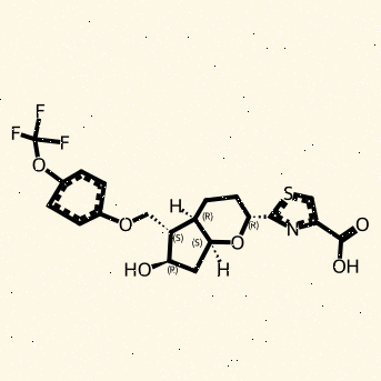 O=C(O)c1csc([C@H]2CC[C@@H]3[C@@H](COc4ccc(OC(F)(F)F)cc4)[C@H](O)C[C@@H]3O2)n1